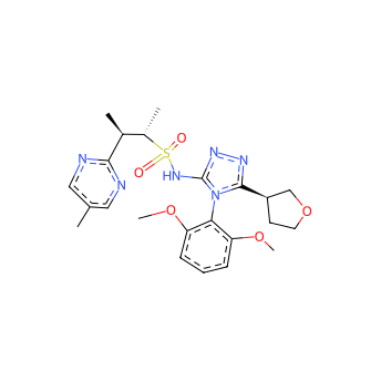 COc1cccc(OC)c1-n1c(NS(=O)(=O)[C@@H](C)[C@H](C)c2ncc(C)cn2)nnc1[C@@H]1CCOC1